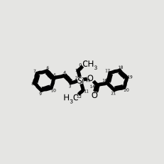 CC[Si](C=Cc1ccccc1)(CC)OC(=O)c1ccccc1